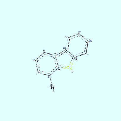 [2H]c1cccc2c1sc1ccccc12